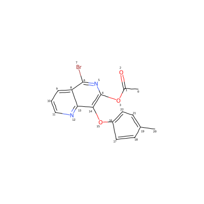 CC(=O)Oc1nc(Br)c2cccnc2c1Oc1ccc(C)cc1